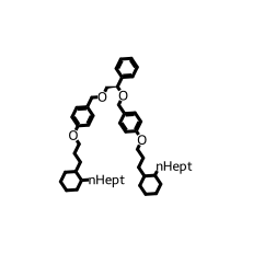 CCCCCCCC1CCCCC1CCCOc1ccc(COC[C@H](OCc2ccc(OCCCC3CCCCC3CCCCCCC)cc2)c2ccccc2)cc1